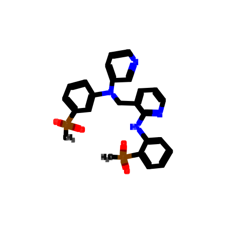 CS(=O)(=O)c1cccc(N(Cc2cccnc2Nc2ccccc2S(C)(=O)=O)c2cccnc2)c1